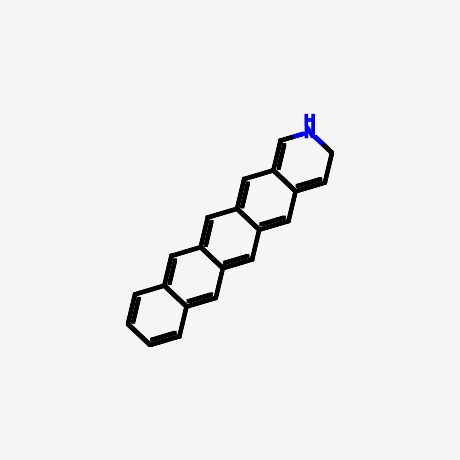 C1=c2cc3cc4cc5ccccc5cc4cc3cc2=CNC1